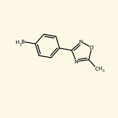 Bc1ccc(-c2noc(C)n2)cc1